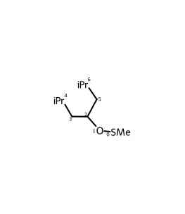 CSOC(CC(C)C)CC(C)C